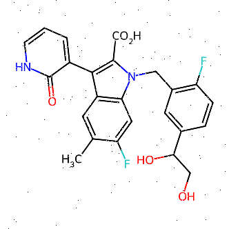 Cc1cc2c(-c3ccc[nH]c3=O)c(C(=O)O)n(Cc3cc(C(O)CO)ccc3F)c2cc1F